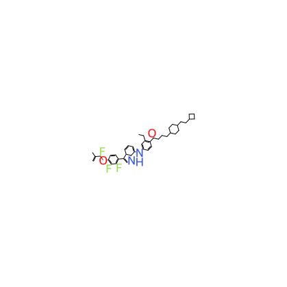 C=C(C)C(F)Oc1ccc(C2=CN=C3C(Nc4ccc(C(=O)CCCC5CCC(CCC6CCC6)CC5)c(CC)c4)=CC=CC23)c(F)c1F